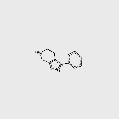 c1ccc(-n2nnc3c2CCNC3)cc1